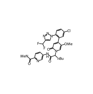 CCCCC(C(=O)Nc1ccc(C(=O)NC)nc1)n1cc(OC)c(-c2cc(Cl)ccc2-n2cc(C(F)F)nn2)cc1=O